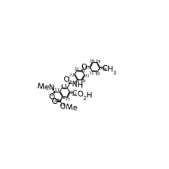 CNC(=O)c1cc(C(=O)Nc2ccc(Oc3ccc(C)cc3)cc2)c(C(=O)O)cc1C(=O)OC